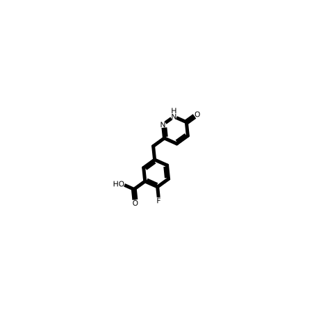 O=C(O)c1cc(Cc2ccc(=O)[nH]n2)ccc1F